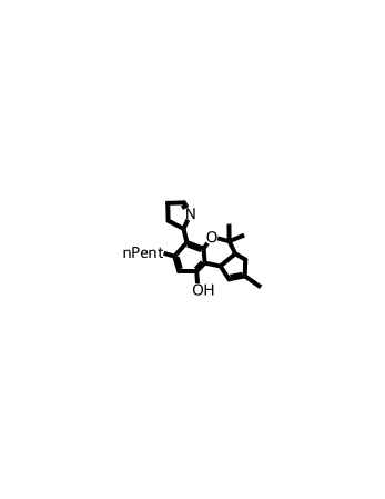 CCCCCc1cc(O)c2c(c1C1CCC=N1)OC(C)(C)C1CC(C)=CC21